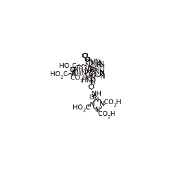 O=C(O)CC[C@H](NC(=O)N[C@@H](CCCCNC(=O)C(Cc1ccc2ccccc2c1)NC(=O)[C@H](Cc1c[nH]cn1)NC(=O)[C@H](Cc1c[nH]cn1)NC(=O)[C@H](Cc1c[nH]cn1)NC(=O)[C@H]1CC[C@H](CNC(=O)CN2CCN(CC(=O)O)CCN(CC(=O)O)CCN(CC(=O)O)CC2)CC1)C(=O)O)C(=O)O